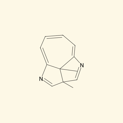 CC12C=NC3=CC=CC=C(N=C1)C32C